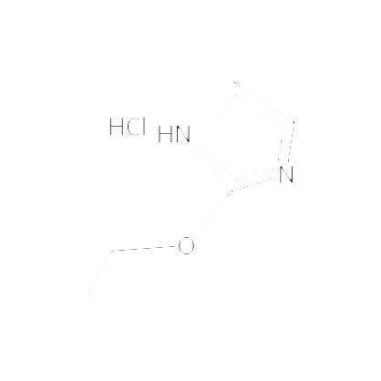 CCOc1ncc[nH]1.Cl